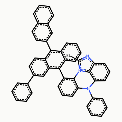 CCc1nc2cccc3c2n1-c1c(-c2c4ccccc4c(-c4ccc5ccccc5c4)c4ccc(-c5ccccc5)cc24)cccc1N3c1ccccc1